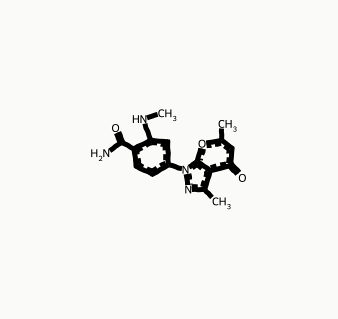 CNc1cc(-n2nc(C)c3c(=O)cc(C)oc32)ccc1C(N)=O